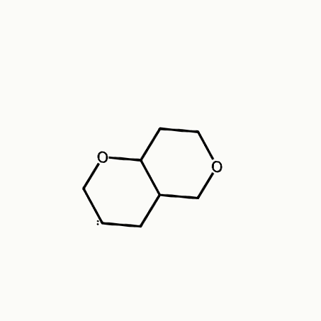 [C]1COC2CCOCC2C1